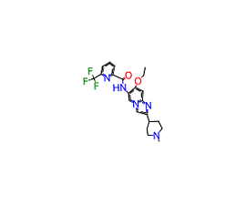 CCOc1cc2nc(C3CCN(C)CC3)cn2cc1NC(=O)c1cccc(C(F)(F)F)n1